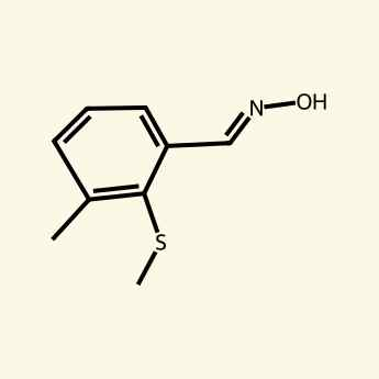 CSc1c(C)cccc1/C=N/O